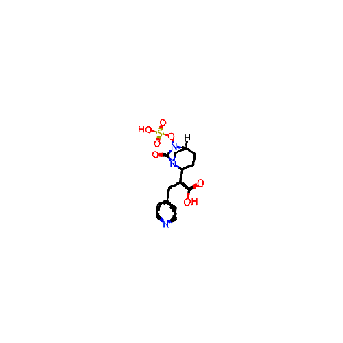 O=C(O)C(Cc1ccncc1)C1CC[C@@H]2CN1C(=O)N2OS(=O)(=O)O